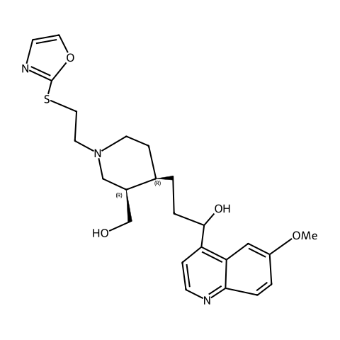 COc1ccc2nccc(C(O)CC[C@@H]3CCN(CCSc4ncco4)C[C@@H]3CO)c2c1